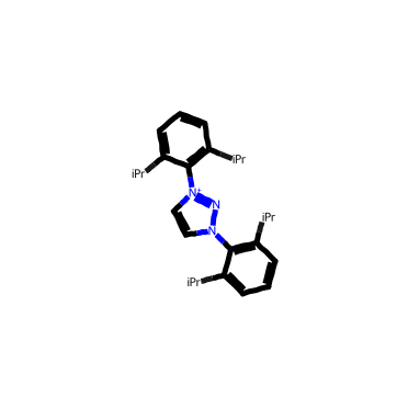 CC(C)c1cccc(C(C)C)c1-n1cc[n+](-c2c(C(C)C)cccc2C(C)C)n1